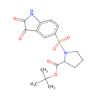 CC(C)(C)OC(=O)C1CCCN1S(=O)(=O)c1ccc2c(c1)C(=O)C(=O)N2